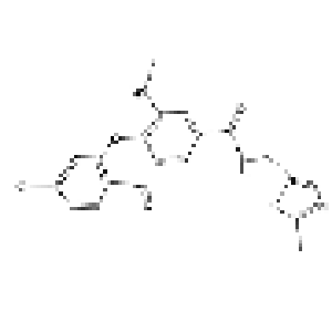 CNc1cc(C(=O)NCc2cnc(C)s2)ccc1Sc1cc(Cl)ccc1C=O